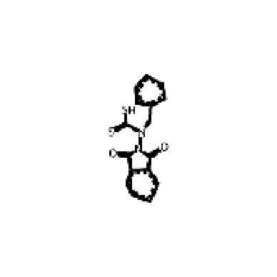 O=C1c2ccccc2C(=O)N1N(Cc1ccccc1)C(=S)S